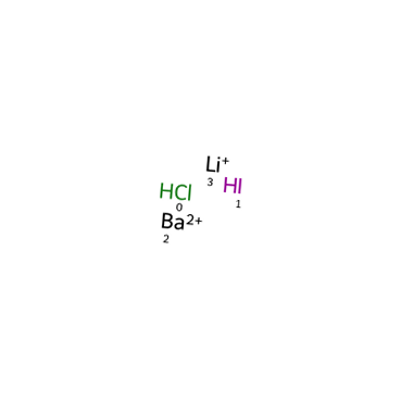 Cl.I.[Ba+2].[Li+]